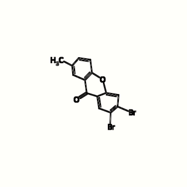 Cc1ccc2oc3cc(Br)c(Br)cc3c(=O)c2c1